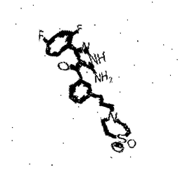 Nc1[nH]nc(-c2ccc(F)cc2F)c1C(=O)c1cccc(CCCN2CCS(=O)(=O)CC2)c1